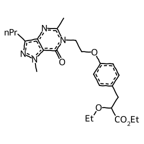 CCCc1nn(C)c2c(=O)n(CCOc3ccc(CC(OCC)C(=O)OCC)cc3)c(C)nc12